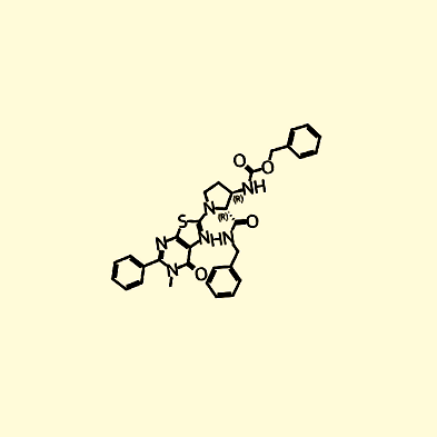 Cn1c(-c2ccccc2)nc2sc(N3CC[C@@H](NC(=O)OCc4ccccc4)[C@@H]3C(=O)NCc3ccccc3)nc2c1=O